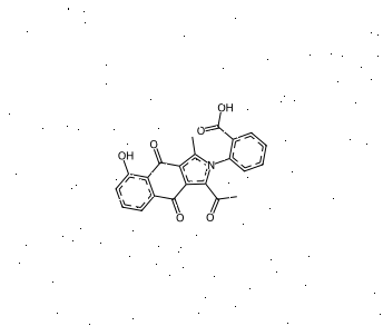 CC(=O)c1c2c(c(C)n1-c1ccccc1C(=O)O)C(=O)c1c(O)cccc1C2=O